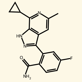 Cc1cc2c(-c3cc(F)ccc3C(N)=O)n[nH]c2c(C2CC2)n1